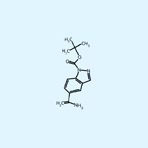 C=C(N)c1ccc2c(cnn2C(=O)OC(C)(C)C)c1